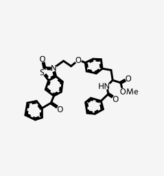 COC(=O)C(Cc1ccc(OCCn2c(=O)sc3cc(C(=O)c4ccccc4)ccc32)cc1)NC(=O)c1ccccc1